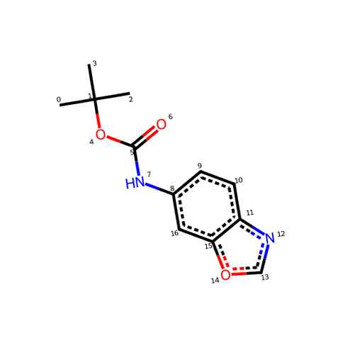 CC(C)(C)OC(=O)Nc1ccc2ncoc2c1